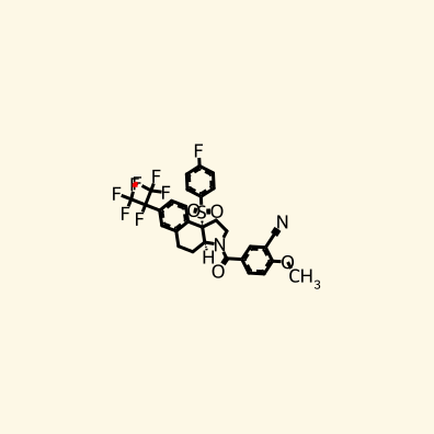 COc1ccc(C(=O)N2CC[C@]3(S(=O)(=O)c4ccc(F)cc4)c4ccc(C(F)(C(F)(F)F)C(F)(F)F)cc4CC[C@H]23)cc1C#N